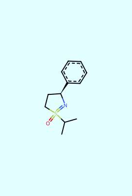 CC(C)S1(=O)=N[C@H](c2ccccc2)CC1